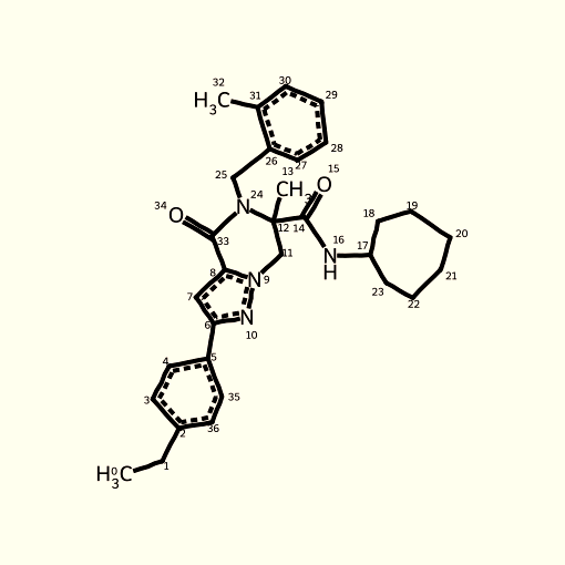 CCc1ccc(-c2cc3n(n2)CC(C)(C(=O)NC2CCCCCC2)N(Cc2ccccc2C)C3=O)cc1